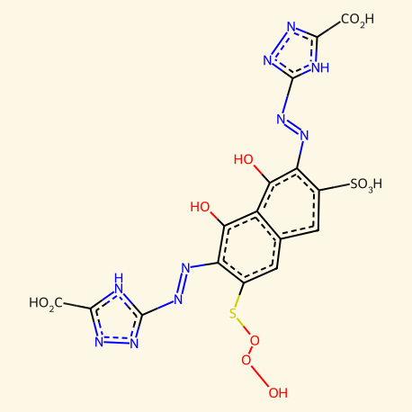 O=C(O)c1nnc(/N=N/c2c(SOOO)cc3cc(S(=O)(=O)O)c(/N=N/c4nnc(C(=O)O)[nH]4)c(O)c3c2O)[nH]1